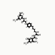 N=C(NCCCCc1ccc(OCC(=O)Nc2nc(N)nc(N)n2)cc1)NC(=O)c1nc(Cl)c(N)nc1N